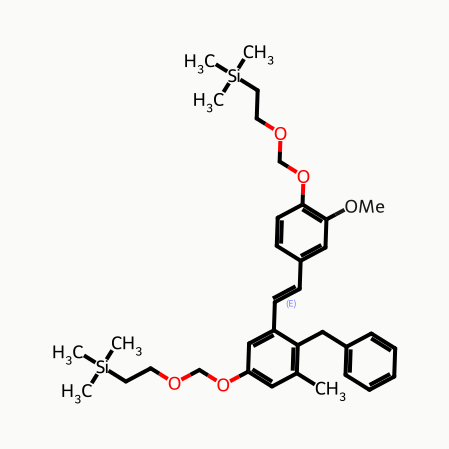 COc1cc(/C=C/c2cc(OCOCC[Si](C)(C)C)cc(C)c2Cc2ccccc2)ccc1OCOCC[Si](C)(C)C